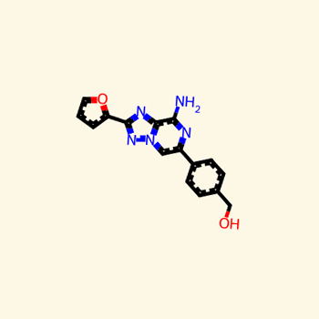 Nc1nc(-c2ccc(CO)cc2)cn2nc(-c3ccco3)nc12